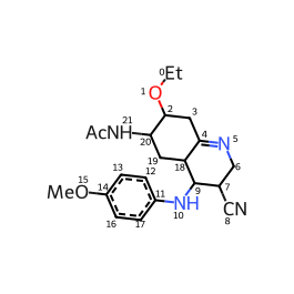 CCOC1CC2=NCC(C#N)C(Nc3ccc(OC)cc3)C2CC1NC(C)=O